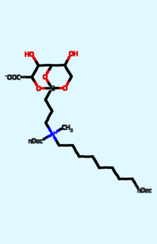 CCCCCCCCCCCCCCCCCC[N+](C)(CCCCCCCCCC)CCC[Si]12OCC(O)C(O1)C(O)C(C(=O)[O-])O2